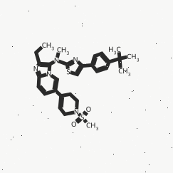 CCc1nc2ccc(C3=CCN(S(C)(=O)=O)CC3)cn2c1N(C)c1nc(-c2ccc(C(C)(C)C)cc2)cs1